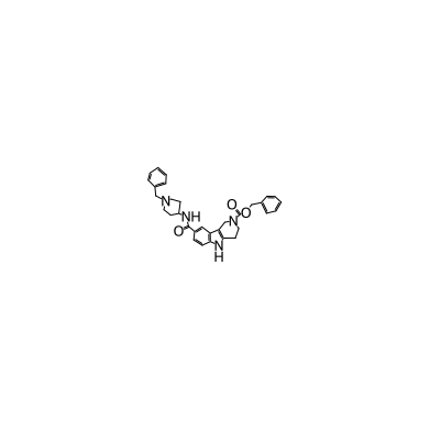 O=C(NC1CCN(Cc2ccccc2)CC1)c1ccc2[nH]c3c(c2c1)CN(C(=O)OCc1ccccc1)CC3